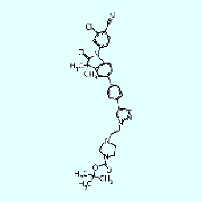 CC(C)(C)OC(=O)N1CCN(CCn2cc(-c3ccc(-c4ccc5c(c4)C(C)(C)C(=O)N5c4ccc(C#N)c(Cl)c4)cc3)cn2)CC1